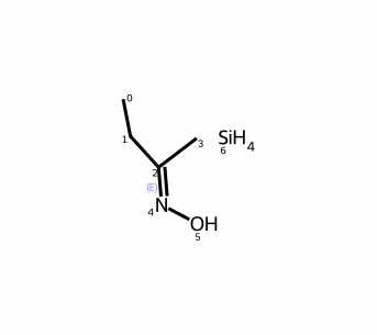 CC/C(C)=N/O.[SiH4]